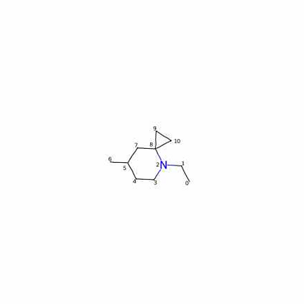 CCN1CCC(C)CC12CC2